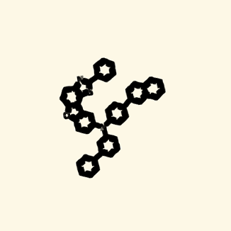 c1ccc(-c2cccc(N(c3ccc(-c4ccc5ccccc5c4)cc3)c3ccc4oc5ccc6nc(-c7ccccc7)sc6c5c4c3)c2)cc1